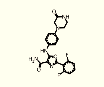 NC(=O)c1nc(-c2c(F)cccc2F)oc1Nc1ccc(N2CCNC(=O)C2)cc1